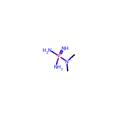 CN(C)P(=N)(N)N